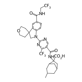 CC1CC2CC(C1)C(NC(=O)c1cnc(N3CC4(CCOCC4)c4cc(C(=O)NCC(F)(F)F)ccc43)nc1C(F)(F)F)(C(=O)O)C2